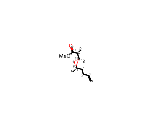 C=CCC[C@@H](C)O[C@@H](C)[C@H](C)C(=O)OC